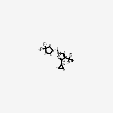 FC1(F)CC[C@@H](Cn2cc(C(F)(F)F)c(C3CC3)n2)C1